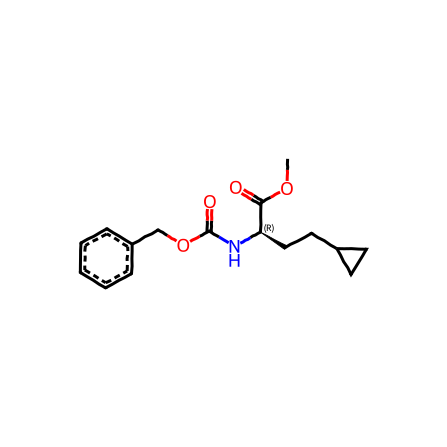 COC(=O)[C@@H](CCC1CC1)NC(=O)OCc1ccccc1